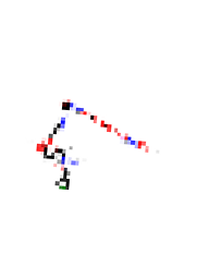 COC(=O)[C@@]1(OCCCCCCNc2c(NCCOCCOCCOCCOCCNC(=O)OC(C)(C)C)c(=O)c2=O)C[C@H](OC(C)=O)[C@@H](NC(C)=O)[C@H]([C@H](OC(C)=O)[C@@H](CNC(=O)Cc2ccc(Cl)cc2)OC(C)=O)O1